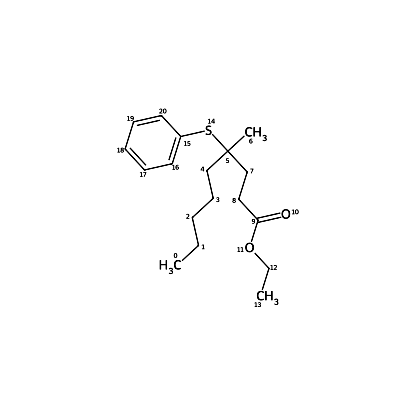 CCCCCC(C)(CCC(=O)OCC)Sc1ccccc1